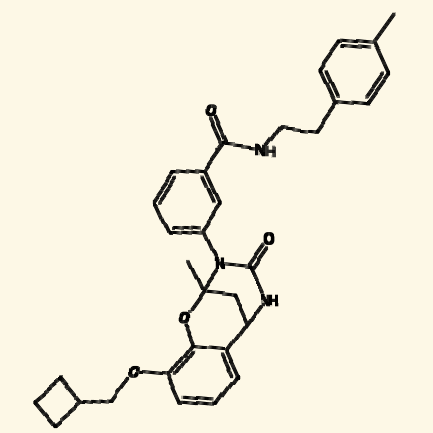 Cc1ccc(CCNC(=O)c2cccc(N3C(=O)NC4CC3(C)Oc3c(OCC5CCC5)cccc34)c2)cc1